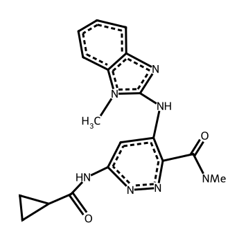 CNC(=O)c1nnc(NC(=O)C2CC2)cc1Nc1nc2ccccc2n1C